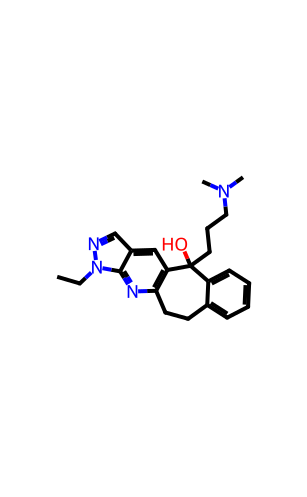 CCn1ncc2cc3c(nc21)CCc1ccccc1C3(O)CCCN(C)C